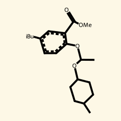 CCC(C)c1ccc(OC(C)OC2CCC(C)CC2)c(C(=O)OC)c1